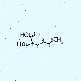 CCCCC(CO)C(=O)O